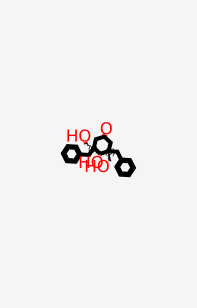 O=C1C[C@](CO)(Cc2ccccc2)C(O)[C@@](CO)(Cc2ccccc2)C1